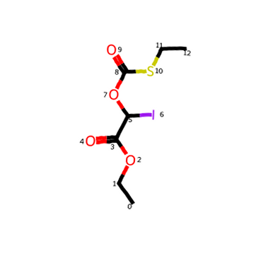 CCOC(=O)C(I)OC(=O)SCC